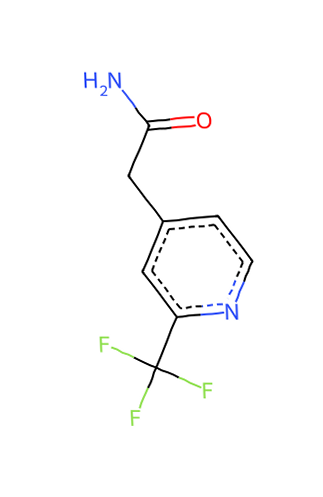 NC(=O)Cc1ccnc(C(F)(F)F)c1